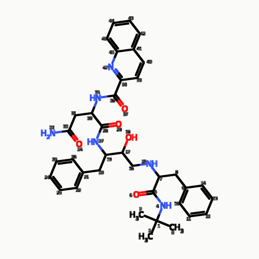 CC(C)(C)NC(=O)C(Cc1ccccc1)NCC(O)C(Cc1ccccc1)NC(=O)C(CC(N)=O)NC(=O)c1ccc2ccccc2n1